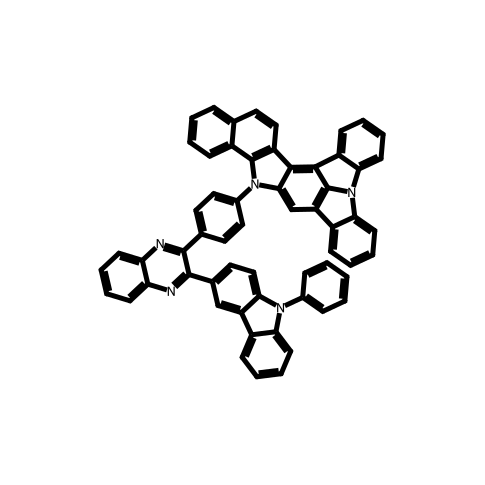 c1ccc(-n2c3ccccc3c3cc(-c4nc5ccccc5nc4-c4ccc(-n5c6cc7c8ccccc8n8c9ccccc9c(c6c6ccc9ccccc9c65)c78)cc4)ccc32)cc1